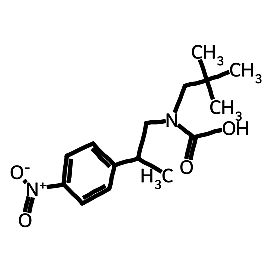 CC(CN(CC(C)(C)C)C(=O)O)c1ccc([N+](=O)[O-])cc1